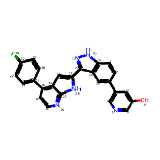 Oc1cncc(-c2ccc3[nH]nc(-c4cc5c(-c6ccc(F)cc6)ccnc5[nH]4)c3c2)c1